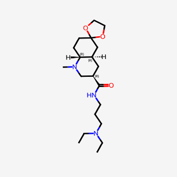 CCN(CC)CCCNC(=O)[C@@H]1C[C@@H]2CC3(CC[C@H]2N(C)C1)OCCO3